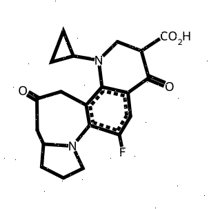 O=C1Cc2c(c(F)cc3c2N(C2CC2)CC(C(=O)O)C3=O)N2CCCC2C1